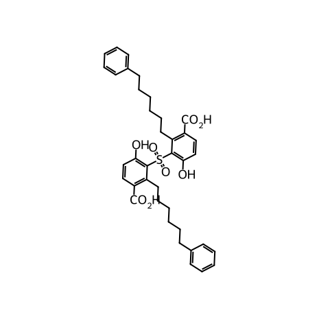 O=C(O)c1ccc(O)c(S(=O)(=O)c2c(O)ccc(C(=O)O)c2CCCCCCc2ccccc2)c1CCCCCCc1ccccc1